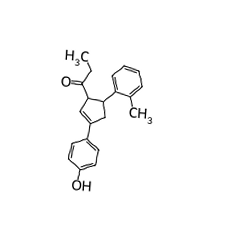 CCC(=O)C1C=C(c2ccc(O)cc2)CC1c1ccccc1C